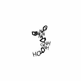 O=C(Nc1ccc(CO)cc1)Nc1ccc(-c2nc(N3CC4CCC(C3)O4)nc(N3CC4CCC(C3)O4)n2)cc1